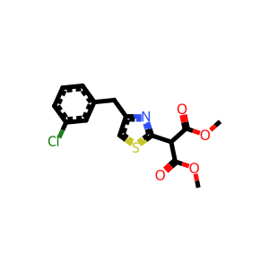 COC(=O)C(C(=O)OC)c1nc(Cc2cccc(Cl)c2)cs1